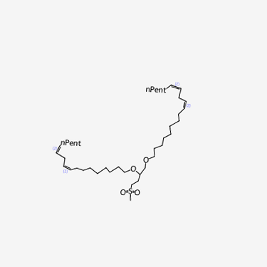 CCCCC/C=C\C/C=C\CCCCCCCCOCC(CCS(C)(=O)=O)OCCCCCCCC/C=C\C/C=C\CCCCC